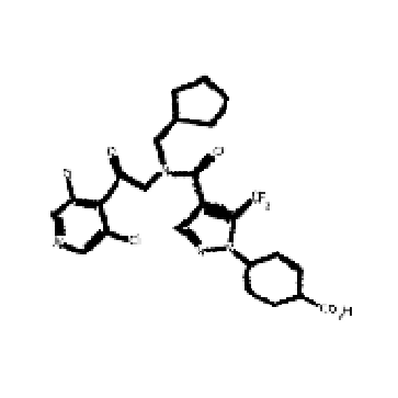 O=C(CN(CC1CCCC1)C(=O)c1cnn(C2CCC(C(=O)O)CC2)c1C(F)(F)F)c1c(Cl)cncc1Cl